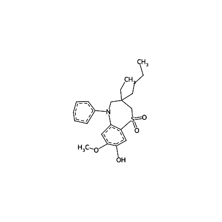 CCCCC1(CC)CN(c2ccccc2)c2cc(OC)c(O)cc2S(=O)(=O)C1